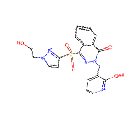 O=c1c2ccccc2c(S(=O)(=O)c2ccn(CCO)n2)nn1Cc1cccnc1O